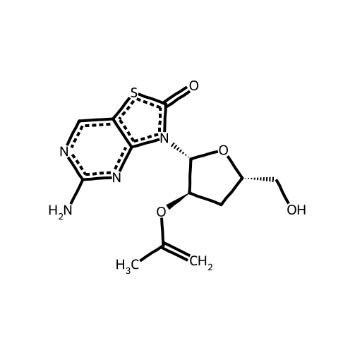 C=C(C)O[C@@H]1C[C@@H](CO)O[C@H]1n1c(=O)sc2cnc(N)nc21